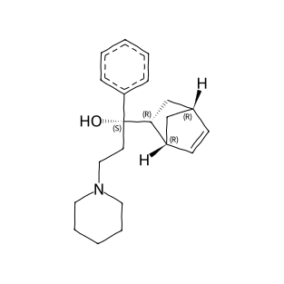 O[C@](CCN1CCCCC1)(c1ccccc1)[C@@H]1C[C@@H]2C=C[C@H]1C2